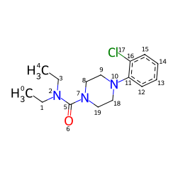 CCN(CC)C(=O)N1CCN(c2ccccc2Cl)CC1